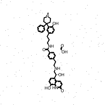 CN1CCC(c2ccccc2)(c2cc(CCCNC(=O)c3ccc(CCNC[C@H](O)c4ccc(O)c5[nH]c(=O)ccc45)cc3)ccc2O)CC1.O=CO